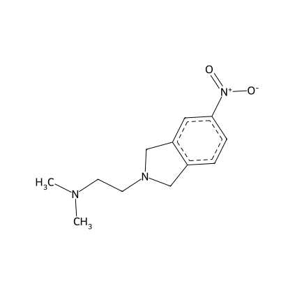 CN(C)CCN1Cc2ccc([N+](=O)[O-])cc2C1